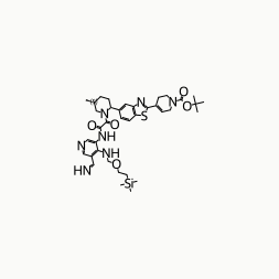 C[C@H]1CCC(c2ccc3sc(C4=CCN(C(=O)OC(C)(C)C)CC4)nc3c2)N(C(=O)C(=O)Nc2cncc(C=N)c2NCOCC[Si](C)(C)C)C1